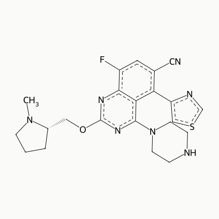 CN1CCC[C@H]1COc1nc(N2CCNCC2)c2c(-c3cscn3)c(C#N)cc(F)c2n1